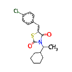 CC(C1CCCCC1)N1C(=O)S/C(=C\c2ccc(Cl)cc2)C1=O